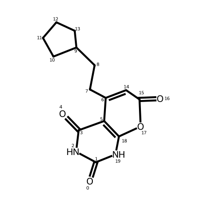 O=c1[nH]c(=O)c2c(CCC3CCCC3)cc(=O)oc2[nH]1